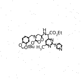 CCOC(=O)C(NC(=O)CN(Cc1ccc2c(c1)OCO2)C(=O)OC(C)(C)C)c1cc(C)nc(-n2ccnc2)n1